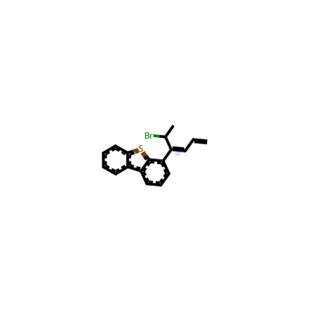 C=C/C=C(/c1cccc2c1sc1ccccc12)C(C)Br